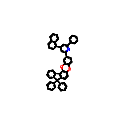 c1ccc(-c2cc(-c3cccc4ccccc34)cc(-c3ccc4c(c3)Oc3c(ccc5c3-c3ccccc3C5(c3ccccc3)c3ccccc3)O4)n2)cc1